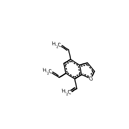 C=Cc1cc(C=C)c2ccoc2c1C=C